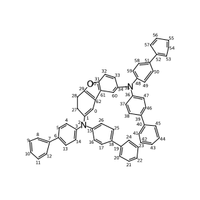 C1=C(N(c2ccc(-c3ccccc3)cc2)c2ccc(-c3ccccc3)cc2)CCc2oc3ccc(N(c4ccc(-c5ccccc5)cc4)c4ccc(-c5ccccc5)cc4)cc3c21